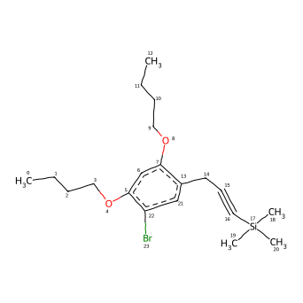 CCCCOc1cc(OCCCC)c(CC#C[Si](C)(C)C)cc1Br